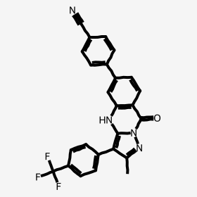 Cc1nn2c(=O)c3ccc(-c4ccc(C#N)cc4)cc3[nH]c2c1-c1ccc(C(F)(F)F)cc1